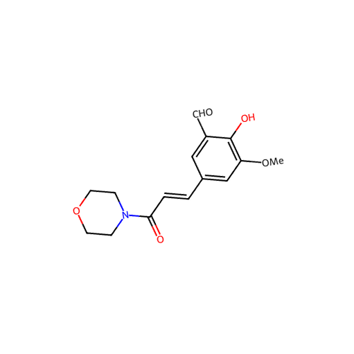 COc1cc(C=CC(=O)N2CCOCC2)cc(C=O)c1O